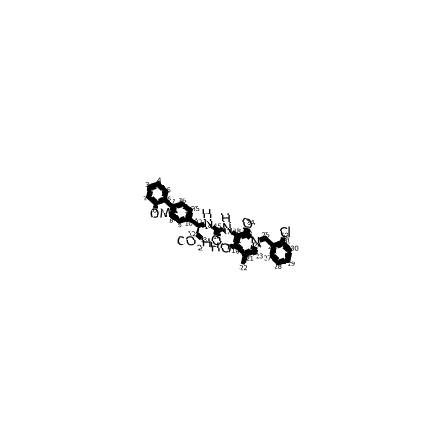 COc1ccccc1-c1ccc([C@H](CC(=O)O)NC(=O)Nc2c(O)c(C)cn(Cc3ccccc3Cl)c2=O)cc1